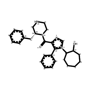 O=C(c1ncn(C2CCCCCC2O)c1-c1ccccc1)N1CCNC[C@H]1Cc1ccccc1